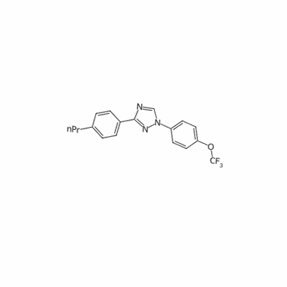 C[CH]Cc1ccc(-c2ncn(-c3ccc(OC(F)(F)F)cc3)n2)cc1